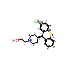 OCCN1CCC(=C2c3ccccc3Sc3ccc(Cl)cc32)CC1